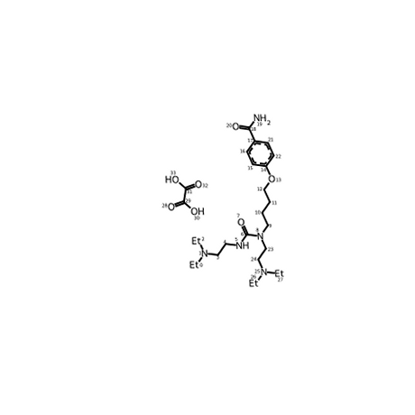 CCN(CC)CCNC(=O)N(CCCCOc1ccc(C(N)=O)cc1)CCN(CC)CC.O=C(O)C(=O)O